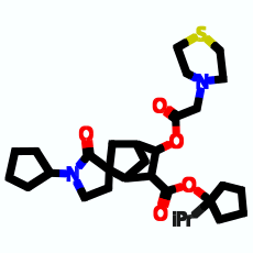 CC(C)C1(OC(=O)C2C(OC(=O)CN3CCSCC3)C3CC2C2(CCN(C4CCCC4)C2=O)C3)CCCC1